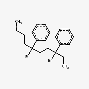 CCCCC(Br)(CCC(Br)(CC)c1ccccc1)c1ccccc1